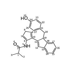 CC(C)C(=O)NC1=CCC=C1C1=Cc2ccccc2C1Cc1ccc(O)cc1